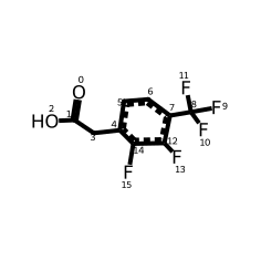 O=C(O)Cc1ccc(C(F)(F)F)c(F)c1F